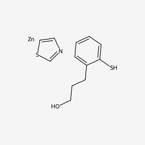 OCCCc1ccccc1S.[Zn].c1cscn1